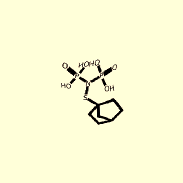 O=P(O)(O)N(SC12CCC(CC1)C2)P(=O)(O)O